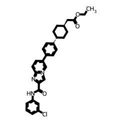 CCOC(=O)C[C@H]1CC[C@H](c2ccc(-c3ccc4nc(C(=O)Nc5cccc(Cl)c5)cn4c3)cc2)CC1